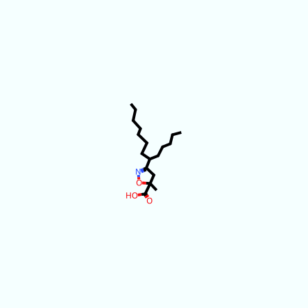 CCCCCCCC(CCCCC)C1=NOC(C)(C(=O)O)C1